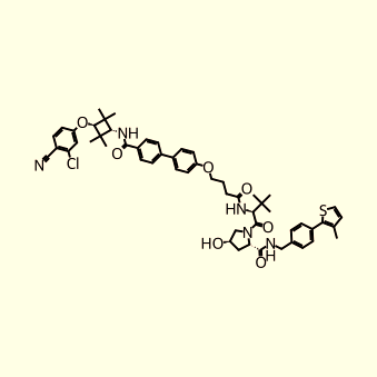 Cc1ccsc1-c1ccc(CNC(=O)[C@@H]2C[C@@H](O)CN2C(=O)[C@@H](NC(=O)CCCOc2ccc(-c3ccc(C(=O)N[C@H]4C(C)(C)[C@H](Oc5ccc(C#N)c(Cl)c5)C4(C)C)cc3)cc2)C(C)(C)C)cc1